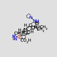 C=C(C)[C@@H]1CC[C@]2(NCCN3CCCCC3)CC[C@]3(C)[C@H](CC[C@@H]4[C@@]5(C)CC=C(C6=CCC(COc7nsnc7C)(C(=O)O)CC6)C(C)(C)[C@@H]5CC[C@]43C)[C@@H]12